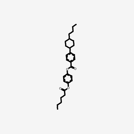 CCCCCC(=O)Oc1ccc(OC(=O)c2ccc(C3CCC(CCCC)CC3)cc2)cc1